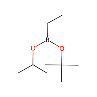 CCB(OC(C)C)OC(C)(C)C